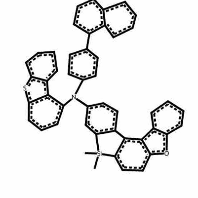 C[Si]1(C)c2cc(N(c3ccc(-c4cccc5ccccc45)cc3)c3cccc4sc5ccccc5c34)ccc2-c2c1ccc1oc3ccccc3c21